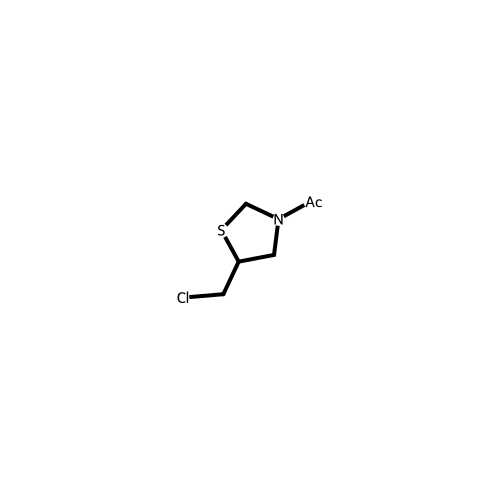 CC(=O)N1CSC(CCl)C1